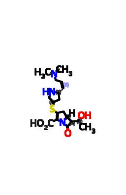 C[C@@H](O)[C@H]1C(=O)N2C(C(=O)O)=C(S[C@@H]3CN[C@H](/C=C\CN(C)C)C3)C[C@H]12